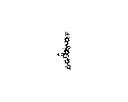 Cc1nc(N2CCC(N3CCCC3)CC2)nc2ccc(NC(=O)/C=C/c3ccc(OC(F)(F)F)cc3)nc12